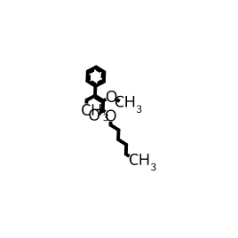 CCCCCCOC(=O)C(OC)=C(CC)c1ccccc1